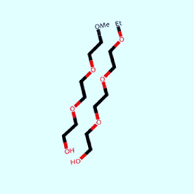 CCOCCOCCOCCO.COCCOCCOCCO